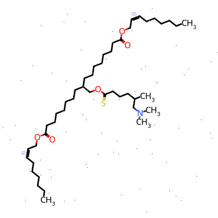 CCCCCC/C=C\COC(=O)CCCCCCCC(CCCCCCCC(=O)OC/C=C\CCCCCC)COC(=S)CCCC(C)CN(C)C